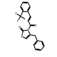 O=C(C=Cc1ccccc1C(F)(F)F)n1c(Cc2ccccc2)coc1=O